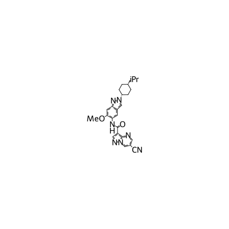 COc1cc2nn([C@H]3CC[C@H](C(C)C)CC3)cc2cc1NC(=O)c1cnn2cc(C#N)cnc12